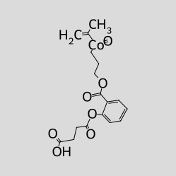 C=[C](C)[Co](=[O])[CH2]CCOC(=O)c1ccccc1OC(=O)CCC(=O)O